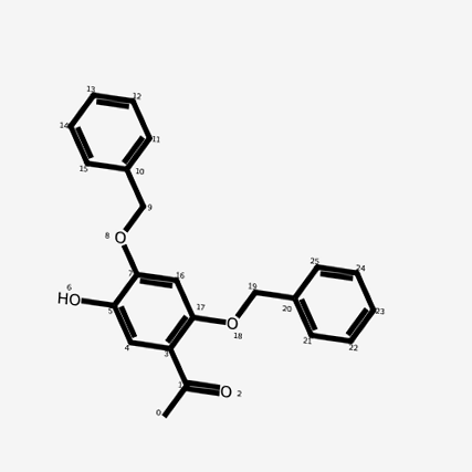 CC(=O)c1cc(O)c(OCc2ccccc2)cc1OCc1ccccc1